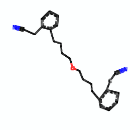 N#CCc1ccccc1CCCCOCCCCc1ccccc1CC#N